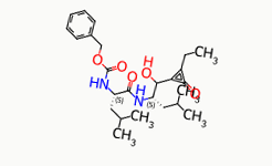 CCc1c(C(O)[C@H](CC(C)C)NC(=O)[C@H](CC(C)C)NC(=O)OCc2ccccc2)c1=O